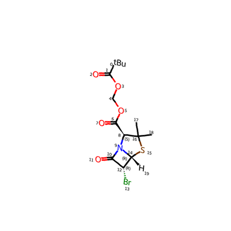 CC(C)(C)C(=O)OCOC(=O)[C@@H]1N2C(=O)[C@@H](Br)[C@H]2SC1(C)C